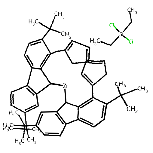 CC(C)(C)c1ccc2c(c1)[CH]([Zr][CH]1c3cc(C(C)(C)C)ccc3-c3ccc(C(C)(C)C)c(C4=CC=CC4)c31)c1c-2ccc(C(C)(C)C)c1C1=CC=CC1.CC[Si](Cl)(Cl)CC